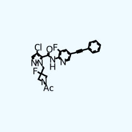 CC(=O)N1CC(F)(Cn2ncc(Cl)c2C(=O)Nc2ncc(C#Cc3ccccc3)cc2F)C1